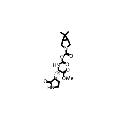 COC(=O)[C@H](C[C@@H]1CCNC1=O)NC(=O)OC(=O)N1CC2C(C1)C2(C)C